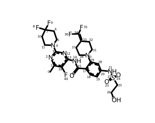 Cc1nc(N2CCC(F)(F)CC2)nc(NC(=O)c2ccc(NS(=O)(=O)CCO)cc2N2CCC(=C(F)F)CC2)c1F